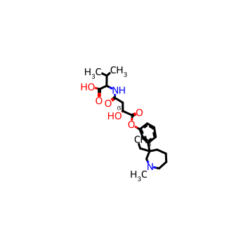 CCC1(c2cccc(OC(=O)[C@@H](O)CC(=O)NC(C(=O)O)C(C)C)c2)CCCCN(C)C1